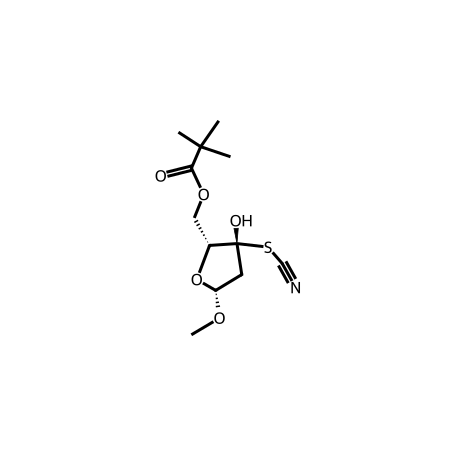 CO[C@H]1C[C@@](O)(SC#N)[C@@H](COC(=O)C(C)(C)C)O1